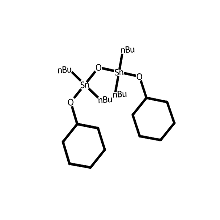 CCC[CH2][Sn]([CH2]CCC)([O]C1CCCCC1)[O][Sn]([CH2]CCC)([CH2]CCC)[O]C1CCCCC1